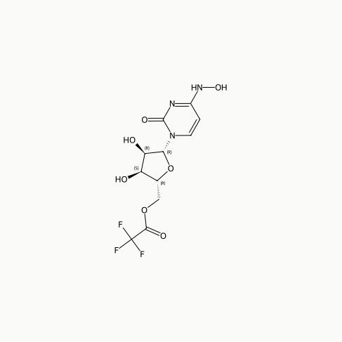 O=C(OC[C@H]1O[C@@H](n2ccc(NO)nc2=O)[C@H](O)[C@@H]1O)C(F)(F)F